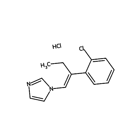 CCC(=Cn1ccnc1)c1ccccc1Cl.Cl